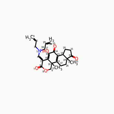 C=CCN(/C=C1/C(=O)OCC2(C)C3=C(C(=O)C(O)=C12)C1CCC(=O)C1(C)CC3)CC=C